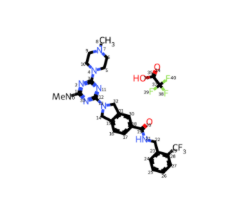 CNc1nc(N2CCN(C)CC2)nc(N2Cc3ccc(C(=O)NCc4ccccc4C(F)(F)F)cc3C2)n1.O=C(O)C(F)(F)F